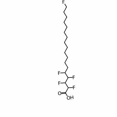 O=C(O)C(F)C(F)C(F)C(F)CCCCCCCCCCCCCF